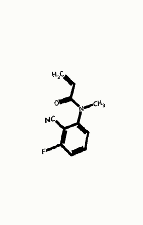 C=CC(=O)N(C)c1cccc(F)c1C#N